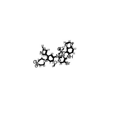 COc1cc(N2CCS(=O)(=O)CC2)c(-c2cnn(C)c2)cc1Nc1ncc(Br)c(Nc2ccc3nccnc3c2OP(C)(C)=O)n1